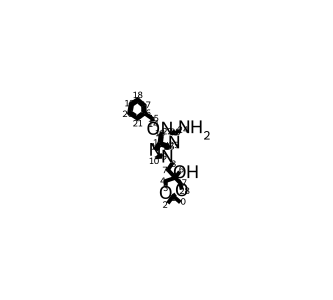 CC1(C)OCC(O)(CCn2cnc3c(OCc4ccccc4)nc(N)nc32)CO1